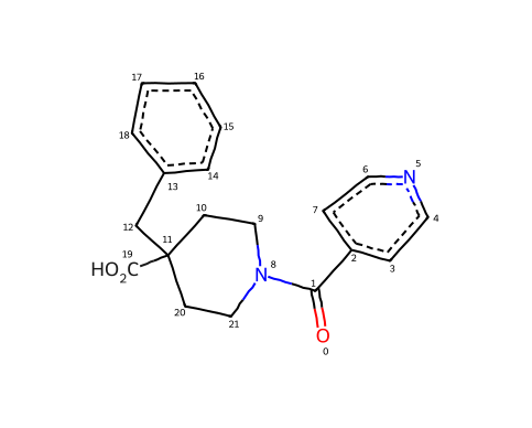 O=C(c1ccncc1)N1CCC(Cc2ccccc2)(C(=O)O)CC1